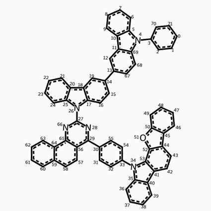 c1ccc(-n2c3ccccc3c3cc(-c4ccc5c(c4)c4ccccc4n5-c4nc(-c5ccc(-n6c7ccccc7c7ccc8c9ccccc9oc8c76)cc5)c5ccc6ccccc6c5n4)ccc32)cc1